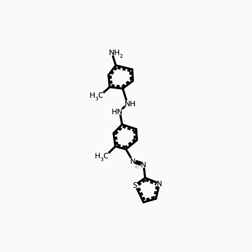 Cc1cc(NNc2ccc(N)cc2C)ccc1/N=N/c1nccs1